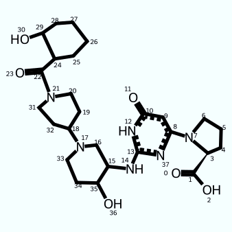 O=C(O)[C@@H]1CCCN1c1cc(=O)[nH]c(NC2CN(C3CCN(C(=O)C4CCCCC4O)CC3)CCC2O)n1